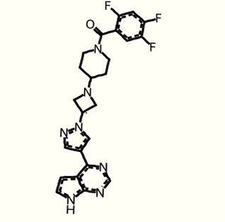 O=C(c1cc(F)c(F)cc1F)N1CCC(N2C[C](n3cc(-c4ncnc5[nH]ccc45)cn3)C2)CC1